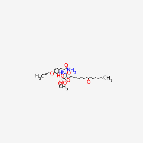 CC#CCOc1ccc(C[C@H](NC(=O)[C@@H](C=CCCCCCCC(=O)CCCCCCC)[C@@](O)(CCOC)C(=O)O)C(N)=O)cc1